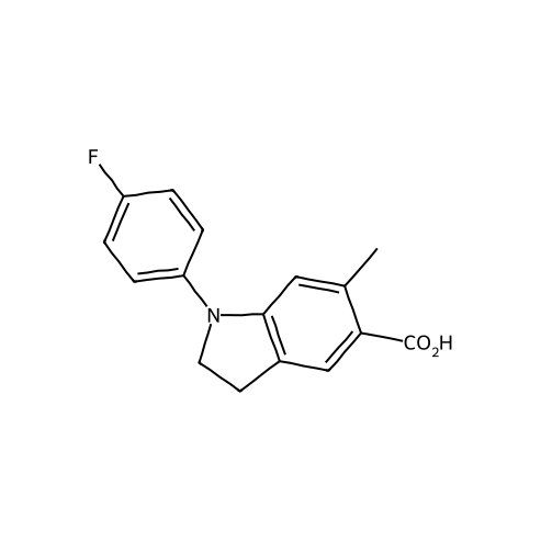 Cc1cc2c(cc1C(=O)O)CCN2c1ccc(F)cc1